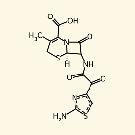 CC1=C(C(=O)O)N2C(=O)C(NC(=O)C(=O)c3csc(N)n3)[C@H]2SC1